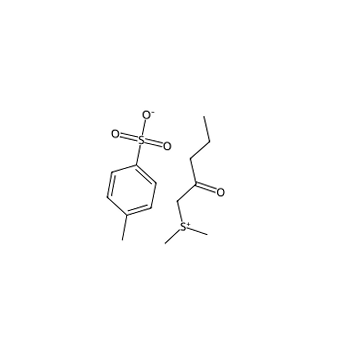 CCCC(=O)C[S+](C)C.Cc1ccc(S(=O)(=O)[O-])cc1